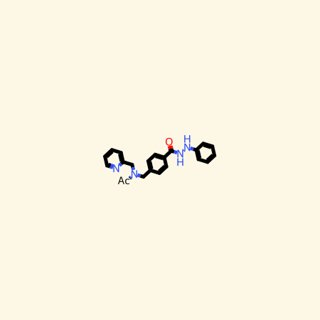 CC(=O)N(Cc1ccc(C(=O)NNc2ccccc2)cc1)Cc1ccccn1